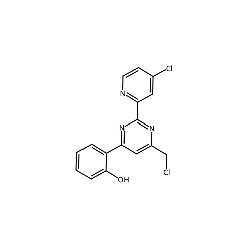 Oc1ccccc1-c1cc(CCl)nc(-c2cc(Cl)ccn2)n1